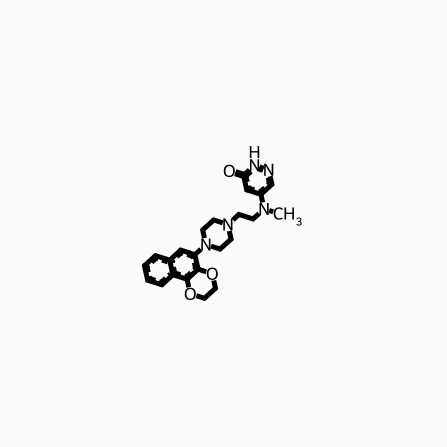 CN(CCN1CCN(c2cc3ccccc3c3c2OCCO3)CC1)c1cn[nH]c(=O)c1